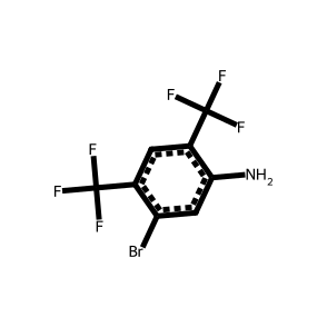 Nc1cc(Br)c(C(F)(F)F)cc1C(F)(F)F